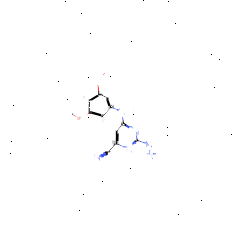 COc1cc(Nc2cc(C#N)nc(NN)n2)cc(OC)c1